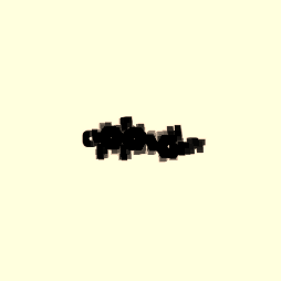 CCC[SiH]1CCC(CCc2cc(F)c(-c3ccc(Cl)c(F)c3)c(F)c2)CC1